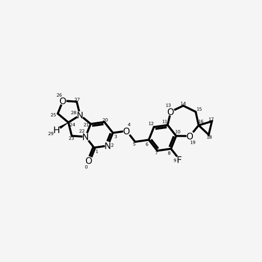 O=c1nc(OCc2cc(F)c3c(c2)OCCC2(CC2)O3)cc2n1C[C@@H]1COCN21